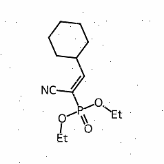 CCOP(=O)(OCC)/C(C#N)=C/C1CCCCC1